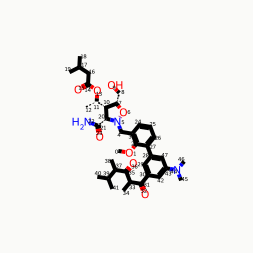 COc1c(CN2O[C@@H](CO)[C@@H]([C@H](C)OC(=O)CC(C)C)[C@H]2C(N)=O)cccc1-c1cc(C(=O)C(C)C(=O)C(C)C(C)C)cc(N(C)C)c1